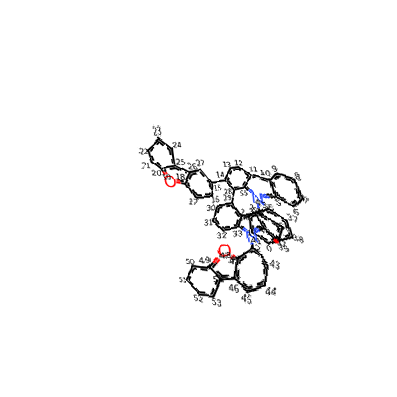 c1ccc(-n2c3ccccc3c3ccc(-c4ccc5oc6ccccc6c5c4)c(-c4cccc5c4c4ccccc4n5-c4cccc5c4oc4ccccc45)c32)cc1